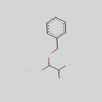 CCCCCCCC(OCc1ccccc1)C(C)C(=O)O